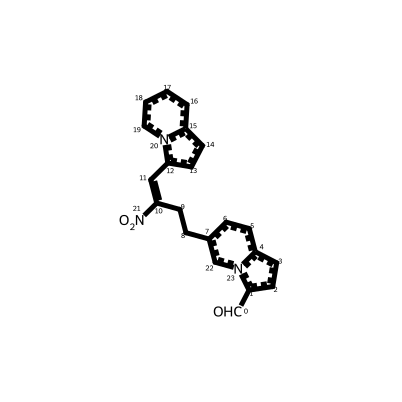 O=Cc1ccc2ccc(CC/C(=C\c3ccc4ccccn34)[N+](=O)[O-])cn12